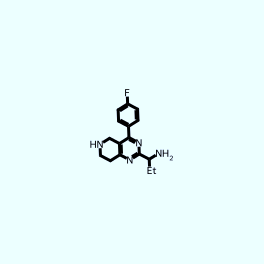 CCC(N)c1nc2c(c(-c3ccc(F)cc3)n1)CNCC2